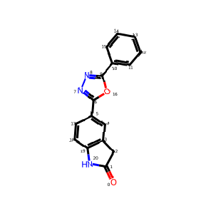 O=C1Cc2cc(-c3nnc(-c4ccccc4)o3)ccc2N1